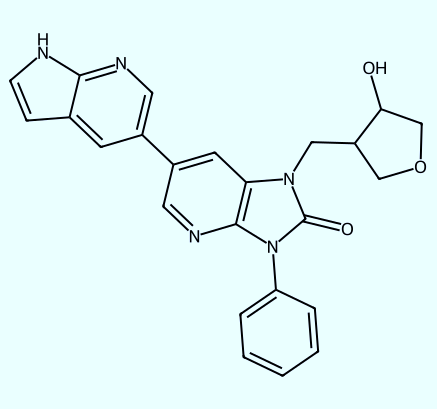 O=c1n(CC2COCC2O)c2cc(-c3cnc4[nH]ccc4c3)cnc2n1-c1ccccc1